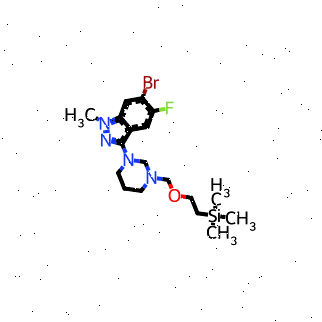 Cn1nc(N2CCCN(COCC[Si](C)(C)C)C2)c2cc(F)c(Br)cc21